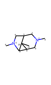 CN1CC2CN(C)C3C(C1)C23C